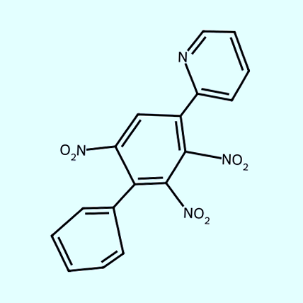 O=[N+]([O-])c1cc(-c2ccccn2)c([N+](=O)[O-])c([N+](=O)[O-])c1-c1ccccc1